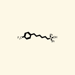 CC(C)[Si](O)(CCCCCCc1ccc(C(F)(F)F)cc1)C(C)C